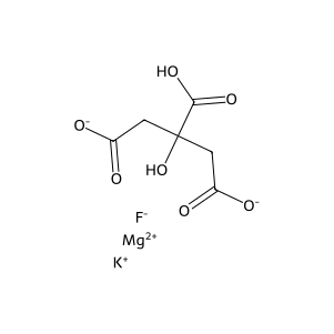 O=C([O-])CC(O)(CC(=O)[O-])C(=O)O.[F-].[K+].[Mg+2]